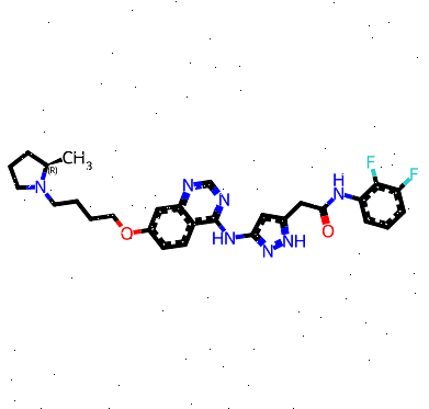 C[C@@H]1CCCN1CCCCOc1ccc2c(Nc3cc(CC(=O)Nc4cccc(F)c4F)[nH]n3)ncnc2c1